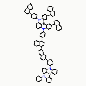 c1ccc(N2c3ccccc3B3c4ccccc4N(c4cccc(-c5ccc6ccc(-c7ccc(-c8ccc(N9c%10ccc(-c%11cccc%12ccccc%11%12)cc%10B%10c%11cc(-c%12cccc%13ccccc%12%13)ccc%11N(c%11ccc(-c%12cccc%13ccccc%12%13)cc%11)c%11cccc9c%11%10)cc8)c8ccccc78)cc6c5)c4)c4cccc2c43)cc1